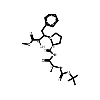 COC(=O)[C@H](O)C(Cc1ccccc1)N1CCC[C@H]1C(=O)NC(=O)[C@H](C)NC(=O)OC(C)(C)C